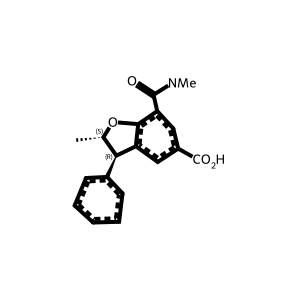 CNC(=O)c1cc(C(=O)O)cc2c1O[C@@H](C)[C@@H]2c1ccccc1